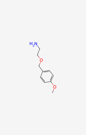 COc1ccc(COCCN)cc1